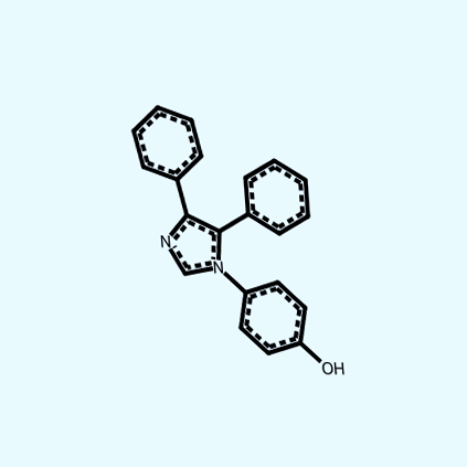 Oc1ccc(-n2cnc(-c3ccccc3)c2-c2ccccc2)cc1